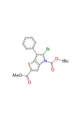 COC(=O)c1cc2c(s1)c(-c1ccccc1)c(Br)n2C(=O)OC(C)(C)C